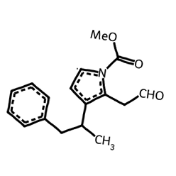 COC(=O)n1[c]cc(C(C)Cc2ccccc2)c1CC=O